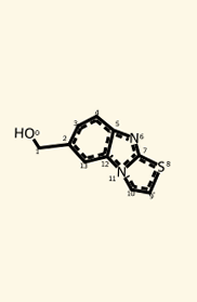 OCc1ccc2nc3s[c]cn3c2c1